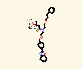 O=C(O)CC(O)(CC(=O)N(CCOCCCc1ccccc1)CCOCc1ccc(-c2nc3ccccc3o2)cc1)C(=O)O